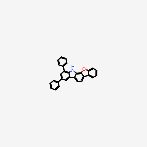 c1ccc(-c2cc(-c3ccccc3)c3[nH]c4c(ccc5c6ccccc6oc54)c3c2)cc1